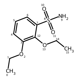 CCOc1cccc(S(N)(=O)=O)c1OCC